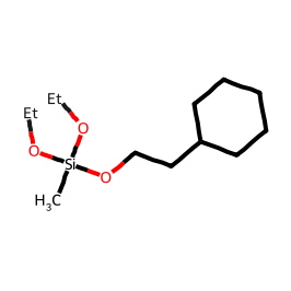 CCO[Si](C)(OCC)OCCC1CCCCC1